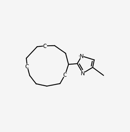 CC1=C[N]C(C2CCCCCCCCCCC2)=N1